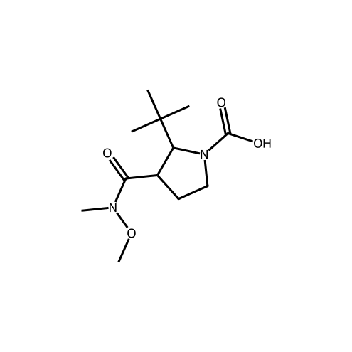 CON(C)C(=O)C1CCN(C(=O)O)C1C(C)(C)C